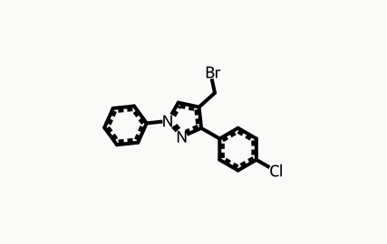 Clc1ccc(-c2nn(-c3ccccc3)cc2CBr)cc1